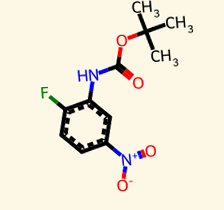 CC(C)(C)OC(=O)Nc1cc([N+](=O)[O-])ccc1F